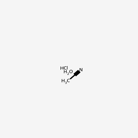 CC#N.Cl.O